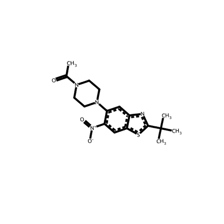 CC(=O)N1CCN(c2cc3nc(C(C)(C)C)sc3cc2[N+](=O)[O-])CC1